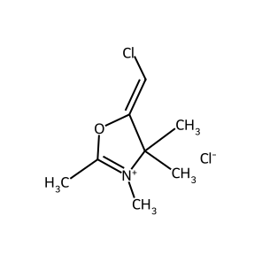 CC1=[N+](C)C(C)(C)C(=CCl)O1.[Cl-]